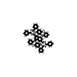 c1ccc(-c2nc(-c3ccccc3)nc(-c3cc(N4c5ccccc5Oc5ccccc54)c4cc(-c5nc(-c6ccccc6)nc(-c6ccccc6)n5)cc(N5c6ccccc6Oc6ccccc65)c4c3)n2)cc1